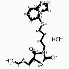 CCSC=C1SC(=O)N(CCCCSc2cccc3nccn23)C1=O.Cl